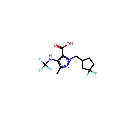 Cc1nn(CC2CCC(F)(F)C2)c(C(=O)O)c1NC(F)(F)F